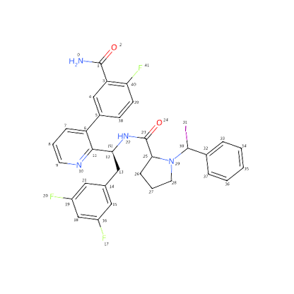 NC(=O)c1cc(-c2cccnc2[C@H](Cc2cc(F)cc(F)c2)NC(=O)C2CCCN2C(I)c2ccccc2)ccc1F